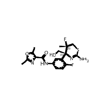 Cc1nc(C(=O)Nc2ccc(F)c([C@@]3(CO)N=C(N)SC[C@@]3(C)F)c2)c(C)o1